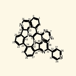 c1ccc(/C(c2ncncn2)=c2\n3c4nccnc4c4cccc(c5cccc6c7nc(-c8ccncc8)cnc7n2c56)c43)cc1